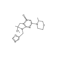 CC1COCCN1c1cc(=O)n2c(n1)N(Cc1cnco1)C(C)(C(F)(F)F)C2